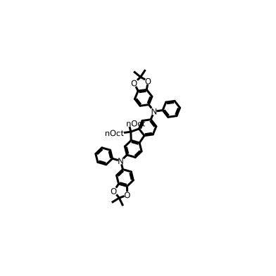 CCCCCCCCC1(CCCCCCCC)c2cc(N(c3ccccc3)c3ccc4c(c3)OC(C)(C)O4)ccc2-c2ccc(N(c3ccccc3)c3ccc4c(c3)OC(C)(C)O4)cc21